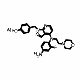 COc1ccc(Cn2ncc3c(N(CCN4CCOCC4)c4ccc(N)cc4F)ccnc32)cc1